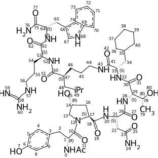 CC(=O)N[C@H](Cc1ccc(O)cc1)C(=O)N1C[C@H](O)C[C@H]1C(=O)N[C@@H](CC(N)=O)C(=O)N[C@H](C(=O)N[C@@H](CC1CCCCC1)C(=O)NCCC[C@@H](CC(C)C)C(=O)N[C@@H](CCCNC(=N)N)C(=O)N[C@@H](Cc1c[nH]c2ccccc12)C(N)=O)[C@@H](C)O